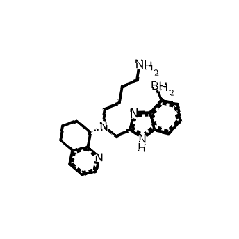 Bc1cccc2[nH]c(CN(CCCCN)[C@H]3CCCc4cccnc43)nc12